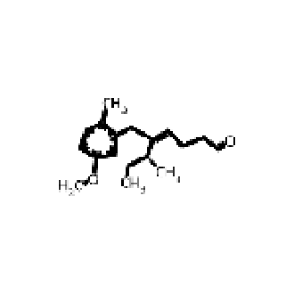 CC[C@H](C)/C(=C\CCC=O)Cc1cc(OC)ccc1C